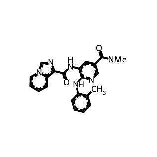 CNC(=O)c1cnc(Nc2ccccc2C)c(NC(=O)c2ncn3ccccc23)c1